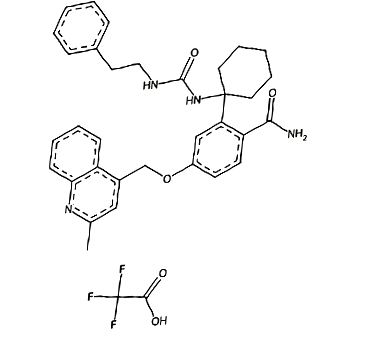 Cc1cc(COc2ccc(C(N)=O)c(C3(NC(=O)NCCc4ccccc4)CCCCC3)c2)c2ccccc2n1.O=C(O)C(F)(F)F